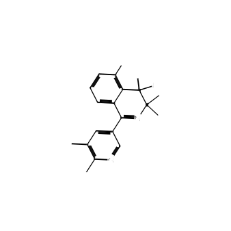 Cc1cc(C2=NC(C)(C)C(F)(F)c3c(F)cccc32)cnc1C